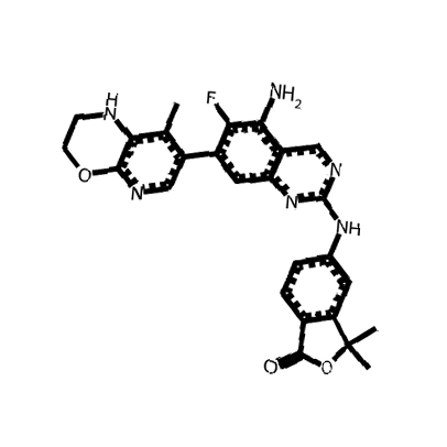 Cc1c(-c2cc3nc(Nc4ccc5c(c4)C(C)(C)OC5=O)ncc3c(N)c2F)cnc2c1NCCO2